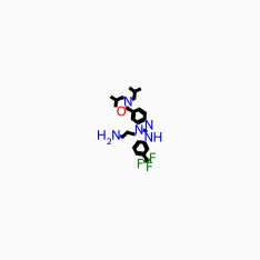 CC(C)CN(CC(C)C)C(=O)c1ccc2nc(Nc3cccc(C(F)(F)F)c3)n(CCCN)c2c1